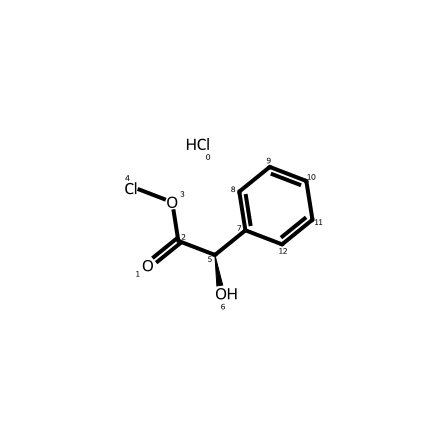 Cl.O=C(OCl)[C@H](O)c1ccccc1